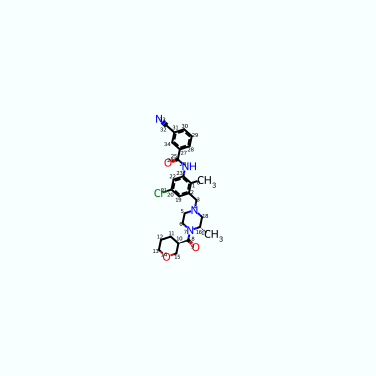 Cc1c(CN2CCN(C(=O)[C@@H]3CCCOC3)[C@@H](C)C2)cc(Cl)cc1NC(=O)c1cccc(C#N)c1